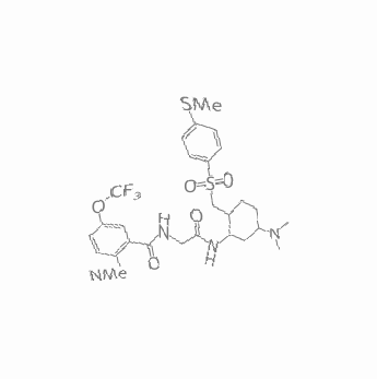 CNc1ccc(OC(F)(F)F)cc1C(=O)NCC(=O)NC1CC(N(C)C)CCC1CS(=O)(=O)c1ccc(SC)cc1